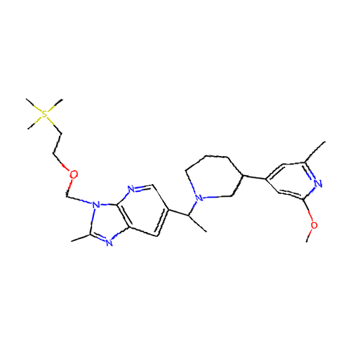 COc1cc(C2CCCN(C(C)c3cnc4c(c3)nc(C)n4COCCS(C)(C)C)C2)cc(C)n1